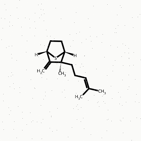 C=C1[C@@H]2CC[C@@H](S2)[C@@]1(C)CCC=C(C)C